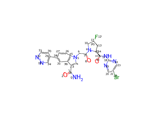 NC(=O)c1cn(CC(=O)N2C[C@H](F)C[C@H]2C(=O)Nc2ncc(Br)cn2)c2ccc(-c3ccnnc3)cc12